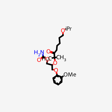 COc1ccccc1OCC(COC(N)=O)OC(C)(C)C(=O)CCCCCOC(C)C